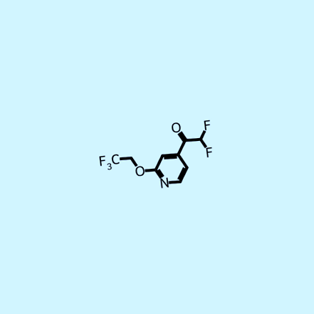 O=C(c1ccnc(OCC(F)(F)F)c1)C(F)F